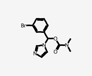 CN(C)C(=O)OC(c1cccc(Br)c1)n1ccnc1